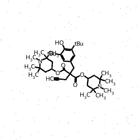 C#CCC(Cc1cc(C(C)(C)C)c(O)c(C(C)(C)C)c1)(C(=O)OC1CC(C)(C)N(C)C(C)(C)C1)C(=O)OC1CC(C)(C)N(C)C(C)(C)C1